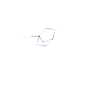 CC12CNC(CN1)C2